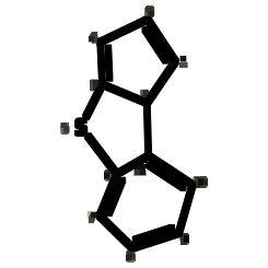 C1=CC2C(=C1)Sc1ccccc12